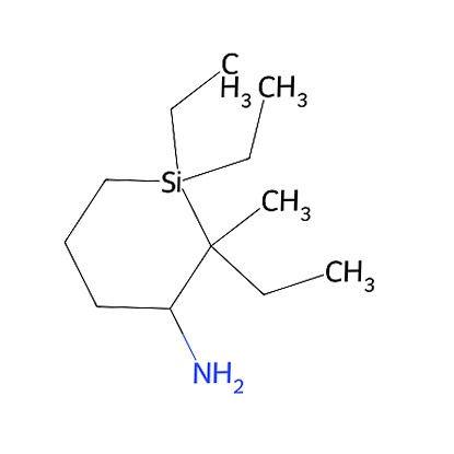 CCC1(C)C(N)CCC[Si]1(CC)CC